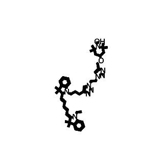 CCN1\C(=C/C=C/C=C/C2N(CCCc3cn(CCn4cc(COC5CC(C)(C)N(O)C(C)(C)C5)nn4)nn3)c3ccccc3C2(C)C)C(C)(C)c2ccccc21